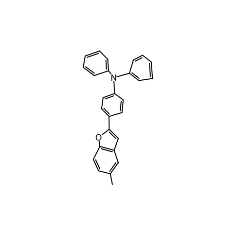 Cc1ccc2oc(-c3ccc(N(c4ccccc4)c4ccccc4)cc3)cc2c1